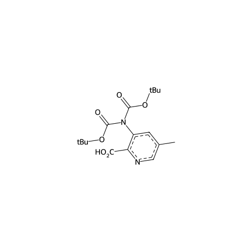 Cc1cnc(C(=O)O)c(N(C(=O)OC(C)(C)C)C(=O)OC(C)(C)C)c1